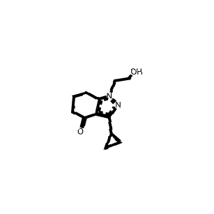 O=C1CCCc2c1c(C1CC1)nn2CCO